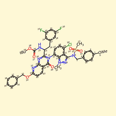 COc1ccc(CN(c2nn(C)c3c(-n4c(C(Cc5cc(F)cc(F)c5)NC(=O)OC(C)(C)C)nc5nc(OCc6ccccc6)ccc5c4=O)ccc(Cl)c23)S(C)(=O)=O)cc1